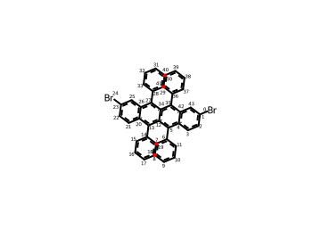 Brc1ccc2c(-c3ccccc3)c3c(-c4ccccc4)c4ccc(Br)cc4c(-c4ccccc4)c3c(-c3ccccc3)c2c1